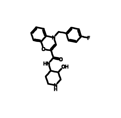 O=C(NC1CCNCC1O)C1=CN(Cc2ccc(F)cc2)c2ccccc2O1